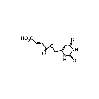 O=C(O)C=CC(=O)OCc1cc(=O)[nH]c(=O)[nH]1